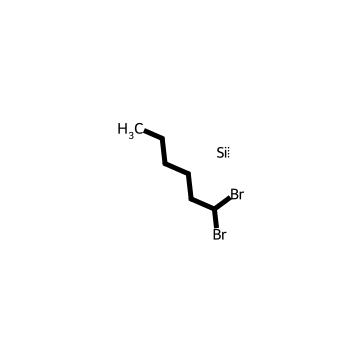 CCCCCC(Br)Br.[Si]